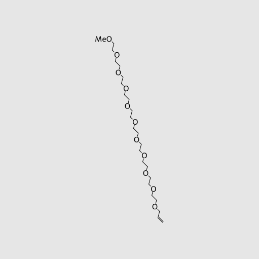 C=CCOCCOCCOCCOCCOCCOCCOCCOCCOCCOCCOC